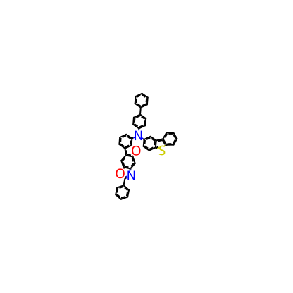 c1ccc(-c2ccc(N(c3ccc4sc5ccccc5c4c3)c3cccc4c3oc3cc5nc(-c6ccccc6)oc5cc34)cc2)cc1